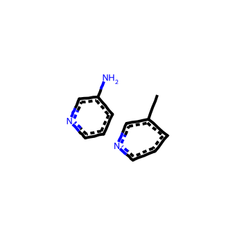 Cc1cccnc1.Nc1cccnc1